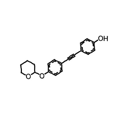 Oc1ccc(C#Cc2ccc(OC3CCCCO3)cc2)cc1